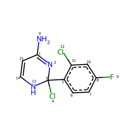 NC1=NC(Cl)(c2ccc(F)cc2Cl)NC=C1